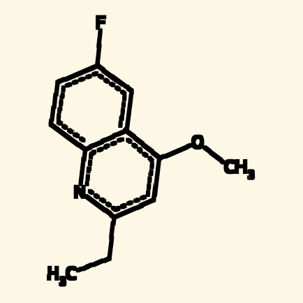 CCc1cc(OC)c2cc(F)ccc2n1